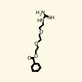 N=C(N)NCCOCCOCCOC(=O)c1ccccc1